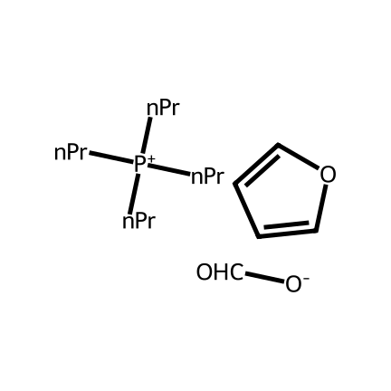 CCC[P+](CCC)(CCC)CCC.O=C[O-].c1ccoc1